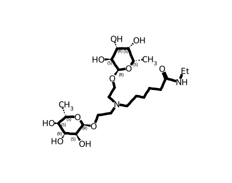 CCNC(=O)CCCCCN(CCO[C@@H]1O[C@@H](C)[C@@H](O)[C@@H](O)[C@@H]1O)CCO[C@@H]1O[C@@H](C)[C@@H](O)[C@@H](O)[C@@H]1O